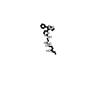 CC/C=C(O)\C=C/CS(=O)(=O)NCCNc1nccc(-c2c(-c3ccccc3)nc3occn23)n1